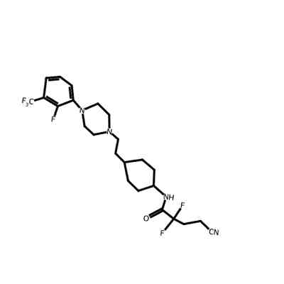 N#CCCC(F)(F)C(=O)NC1CCC(CCN2CCN(c3cccc(C(F)(F)F)c3F)CC2)CC1